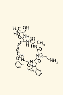 C[C@@H](O)[C@@H]1NC(=O)C(CCCCN)NC(=O)[C@@H](Cc2c[nH]c3ccccc23)NC(=O)[C@H](Cc2ccccc2)NC(=O)CCSSC[C@@H](C(=O)N[C@H](CO)[C@@H](C)O)NC1=O